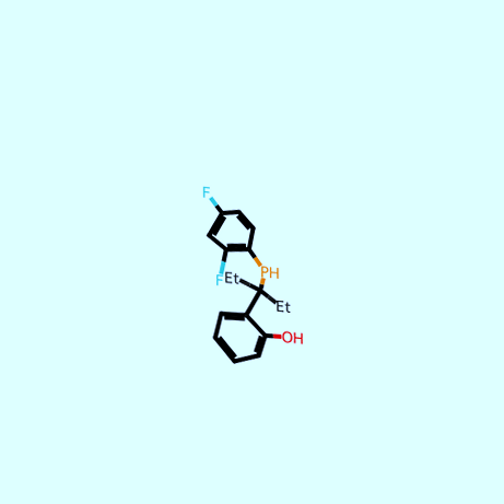 CCC(CC)(Pc1ccc(F)cc1F)c1ccccc1O